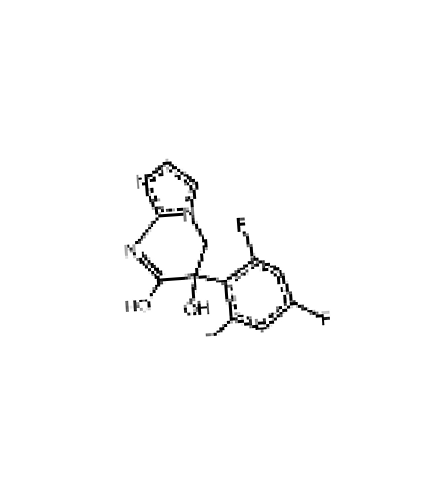 OC1=Nc2nccn2CC1(O)c1c(F)cc(F)cc1F